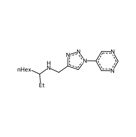 CCCCCCC(CC)NCc1cn(-c2cncnc2)nn1